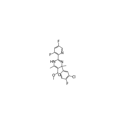 COC(=O)C1=C(C)NC(c2ncc(F)cc2F)=NC1(C)c1ccc(F)c(Cl)c1